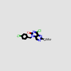 COc1ncc2c(n1)c(Cl)nc(=O)n2Cc1ccc(Cl)cc1